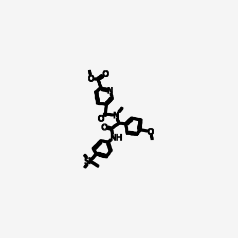 COC(=O)c1ccc(C(=O)N(C)C(C(=O)Nc2ccc([Si](C)(C)C)cc2)c2ccc(OC)cc2)cn1